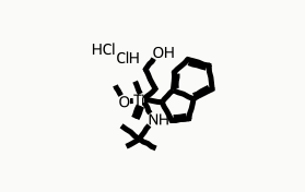 Cl.Cl.[CH2]=[Ti]([CH3])([CH2]CO)([NH]C(C)(C)C)([O]C)[CH]1C=Cc2ccccc21